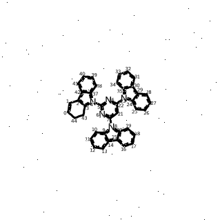 C1=Cc2c(n(-c3nc(-n4c5ccccc5c5ccccc54)cc(-n4c5ccccc5c5ccccc54)n3)c3ccccc23)CC1